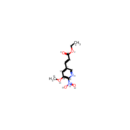 CCOC(=O)C=Cc1cnc([N+](=O)[O-])c(OC)c1